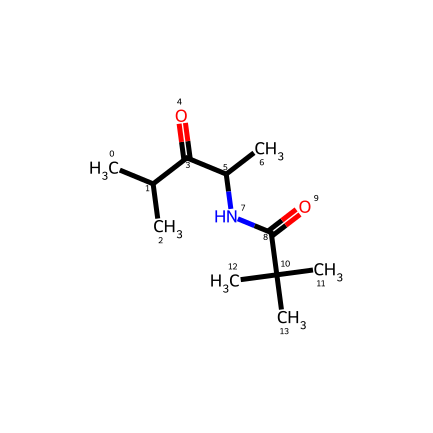 CC(C)C(=O)C(C)NC(=O)C(C)(C)C